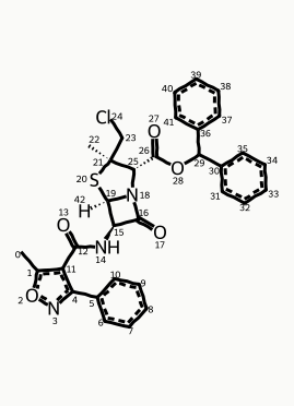 Cc1onc(-c2ccccc2)c1C(=O)N[C@@H]1C(=O)N2[C@@H]1S[C@@](C)(CCl)[C@@H]2C(=O)OC(c1ccccc1)c1ccccc1